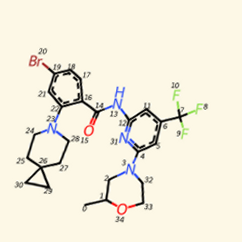 CC1CN(c2cc(C(F)(F)F)cc(NC(=O)c3ccc(Br)cc3N3CCC4(CC3)CC4)n2)CCO1